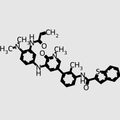 C=CC(=O)Nc1cc(Nc2cc(-c3cccc(NC(=O)c4cc5ccccc5s4)c3C)cn(C)c2=O)ccc1N(C)C